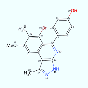 COc1cc2c(c(-c3ccc(O)cc3)nc3[nH]nc(C)c32)c(Br)c1C